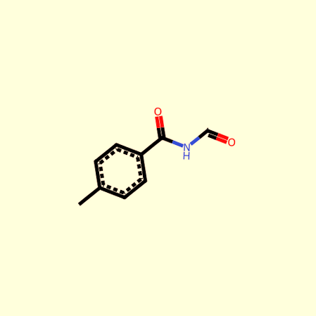 Cc1ccc(C(=O)N[C]=O)cc1